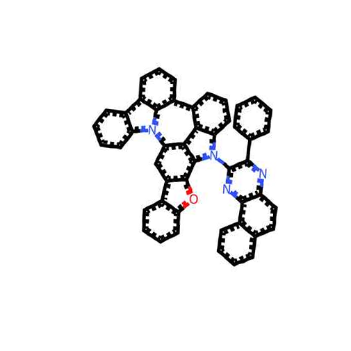 c1ccc(-c2nc3ccc4ccccc4c3nc2-n2c3cccc4c5cccc6c7ccccc7n(c7cc8c9ccccc9oc8c2c7c43)c56)cc1